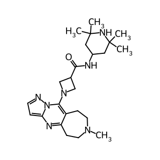 CN1CCc2nc3ccnn3c(N3CC(C(=O)NC4CC(C)(C)NC(C)(C)C4)C3)c2CC1